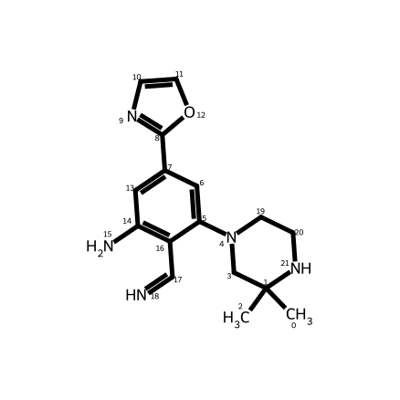 CC1(C)CN(c2cc(-c3ncco3)cc(N)c2C=N)CCN1